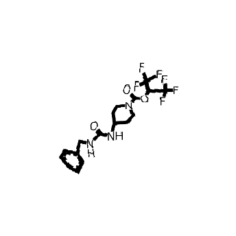 O=C(NCc1ccccc1)NC1CCN(C(=O)OC(C(F)(F)F)C(F)(F)F)CC1